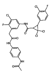 CC(=O)Nc1ccc(NC(=O)Cc2cc(NC(=O)C3C(c4ccc(F)c(Cl)c4)C3(Cl)Cl)cc(Cl)c2F)cc1